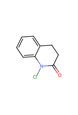 O=C1CCc2ccccc2N1Cl